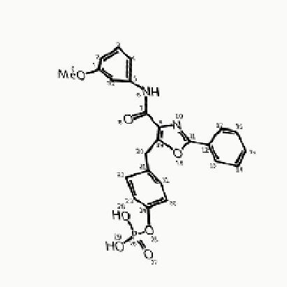 COc1cccc(NC(=O)c2nc(-c3ccccc3)oc2Cc2ccc(OP(=O)(O)O)cc2)c1